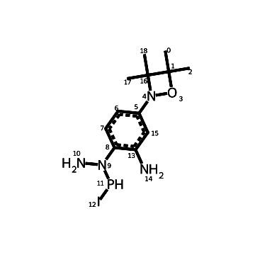 CC1(C)ON(c2ccc(N(N)PI)c(N)c2)C1(C)C